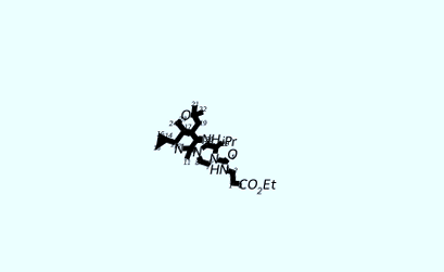 CCOC(=O)CCNC(=O)N1CCN(C2(C)N=C(C3CC3)C3=C(CC(C)(C)OC3)C2=N)CC1C(C)C